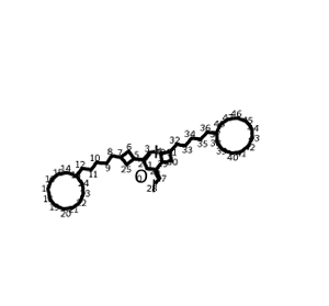 O=C(/C(=C\I)C1CC(CCCCCC2CCCCCCCCCCC2)C1)/C(=C\I)C1CC(CCCCCC2CCCCCCCCCCC2)C1